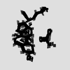 CC(C)CCCC(C)[C@H]1CC[C@H]2[C@@H]3CC=C4C[C@@H](O)CC[C@]4(C)[C@H]3CC[C@]12C.NC([O])=O